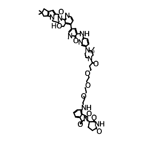 C[C@H]1CN(C(=O)CCOCCOCCOCCNc2cccc3c2C(=O)N(C2CCC(=O)NC2=O)C3=O)CCN1c1ccc(Nc2cc(-c3ccnc(N4CCn5c(cc6c5CC(C)(C)C6)C4=O)c3CO)cn(C)c2=O)nc1